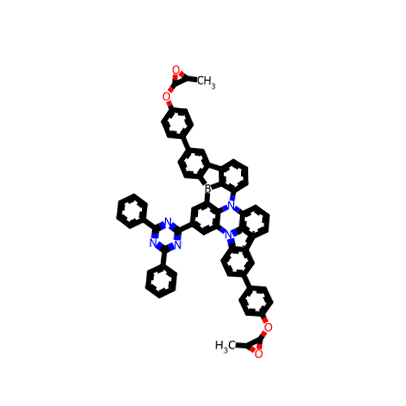 CC1OC1Oc1ccc(-c2ccc3c(c2)-c2cccc4c2B3c2cc(-c3nc(-c5ccccc5)nc(-c5ccccc5)n3)cc3c2N4c2cccc4c5cc(-c6ccc(OC7OC7C)cc6)ccc5n-3c24)cc1